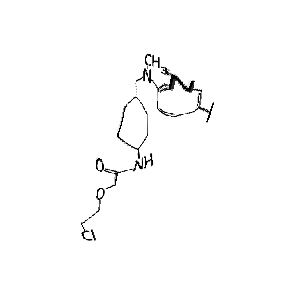 CN(C[C@H]1CC[C@H](NC(=O)COCCCl)CC1)c1ccc(I)cn1